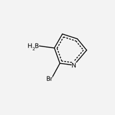 Bc1cccnc1Br